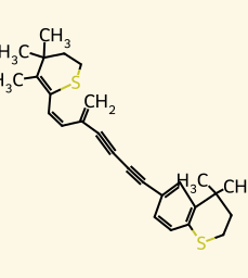 C=C(C#CC#Cc1ccc2c(c1)C(C)(C)CCS2)/C=C\C1=C(C)C(C)(C)CCS1